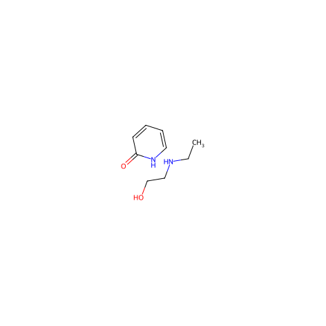 CCNCCO.O=c1cccc[nH]1